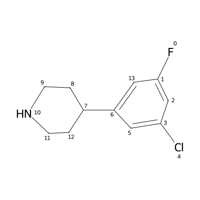 Fc1cc(Cl)cc(C2CCNCC2)c1